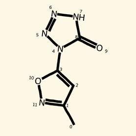 Cc1cc(-n2nn[nH]c2=O)on1